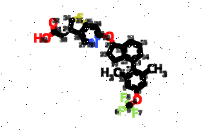 Cc1cc(OC(F)(F)F)cc(C)c1-c1cccc2c1CCC2Oc1cc2c(cn1)[C@H](CC(=O)O)CS2